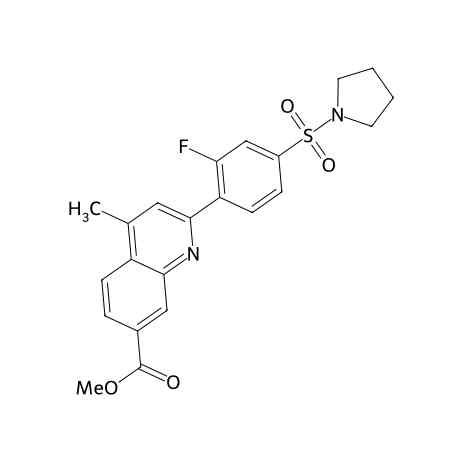 COC(=O)c1ccc2c(C)cc(-c3ccc(S(=O)(=O)N4CCCC4)cc3F)nc2c1